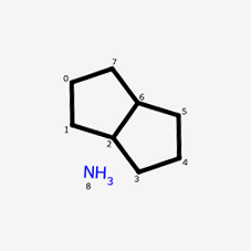 C1CC2CCCC2C1.N